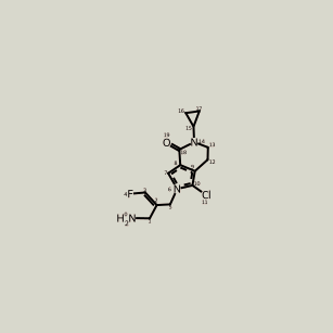 NCC(=CF)Cn1cc2c(c1Cl)CCN(C1CC1)C2=O